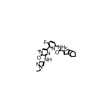 CCn1cc(Nc2nc(-c3nc(NC(=O)c4cc5c(s4)C4CCC5C4)ccc3F)cn(C)c2=O)cn1